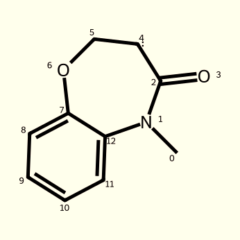 CN1C(=O)[C]COc2ccccc21